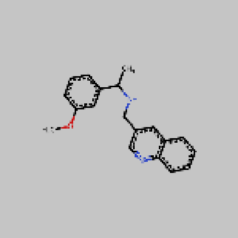 COc1cccc(C(C)NCc2cnc3ccccc3c2)c1